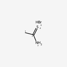 Br.CC(N)=S